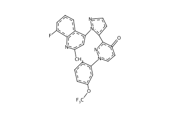 Cc1cc(-n2nccc2-c2nn(-c3cccc(OC(F)(F)F)c3)ccc2=O)c2cccc(F)c2n1